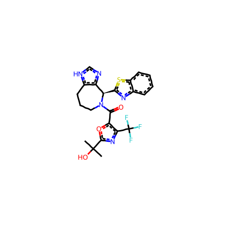 CC(C)(O)c1nc(C(F)(F)F)c(C(=O)N2CCCc3[nH]cnc3[C@H]2c2nc3ccccc3s2)o1